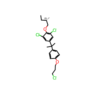 CC[C@H](C)COc1c(Cl)cc(C(C)(C)c2ccc(OCCCCl)cc2)cc1Cl